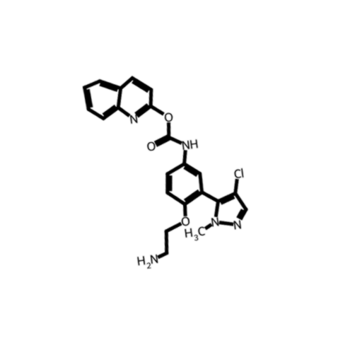 Cn1ncc(Cl)c1-c1cc(NC(=O)Oc2ccc3ccccc3n2)ccc1OCCN